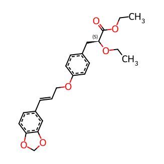 CCOC(=O)[C@H](Cc1ccc(OCC=Cc2ccc3c(c2)OCO3)cc1)OCC